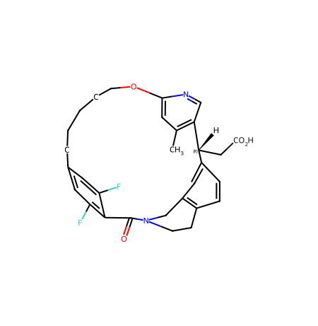 Cc1cc2ncc1[C@H](CC(=O)O)c1ccc3c(c1)CN(CC3)C(=O)c1c(F)cc(cc1F)CCCCCO2